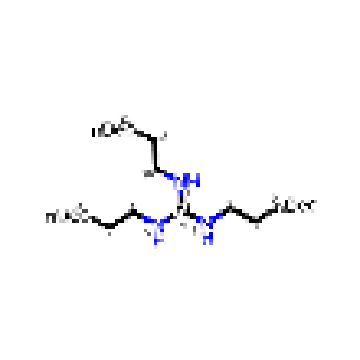 CCCCCCCCCCCC[NH][Al]([NH]CCCCCCCCCCCC)[NH]CCCCCCCCCCCC